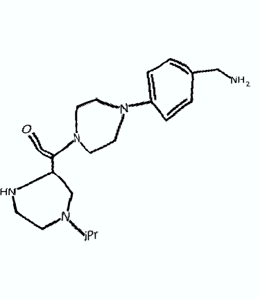 CC(C)N1CCNC(C(=O)N2CCN(c3ccc(CN)cc3)CC2)C1